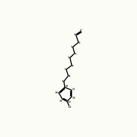 C=CCCCCCCCCc1ccc(C)cc1